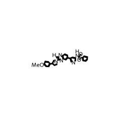 C=C/C(=N\c1cc(-c2cncc(NS(=O)(=O)c3ccccc3)c2)ccc1N)N1CCC(c2ccc(OC)cc2)C1